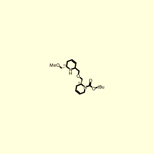 COC[C@@H]1CC=CC(COC[C@@H]2CC=CCN2C(=O)OC(C)(C)C)N1